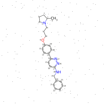 CC1CCCN1CCCOc1ccc(-c2ccc(NCc3ccccc3)nn2)cc1